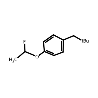 CC(F)Oc1ccc(CC(C)(C)C)cc1